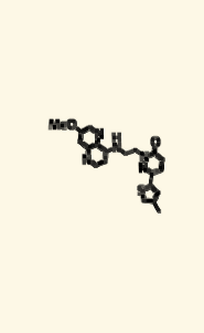 COc1cnc2c(NCCn3nc(-c4cc(C)cs4)ccc3=O)ccnc2c1